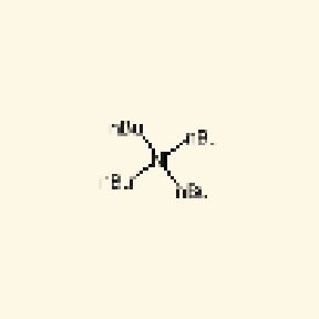 CCC[CH2][Ni]([CH2]CCC)([CH2]CCC)[CH2]CCC